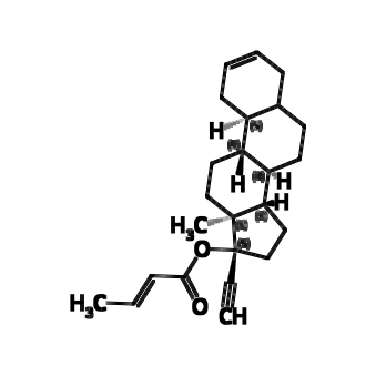 C#C[C@]1(OC(=O)C=CC)CC[C@H]2[C@@H]3CCC4CC=CC[C@@H]4[C@H]3CC[C@@]21C